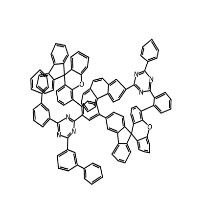 c1ccc(-c2cccc(-c3nc(-c4cccc(-c5ccccc5)c4)nc(-c4cc(-c5ccc6c(c5)-c5ccccc5C65c6ccccc6Oc6c(-c7ccccc7-c7nc(-c8ccccc8)nc(-c8ccc9c(ccc%10ccccc%109)c8)n7)cccc65)ccc4-c4cccc5c4Oc4ccccc4C54c5ccccc5-c5ccccc54)n3)c2)cc1